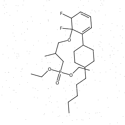 CCCCCC1CCC(C2=CC=CC(F)C2(F)OCC(C)CP(=O)(OCC)OCC)CC1